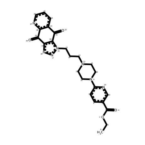 CCOC(=O)c1ccc(N2CCN(CCCn3nnc4c3C(=O)c3cccnc3C4=O)CC2)nc1